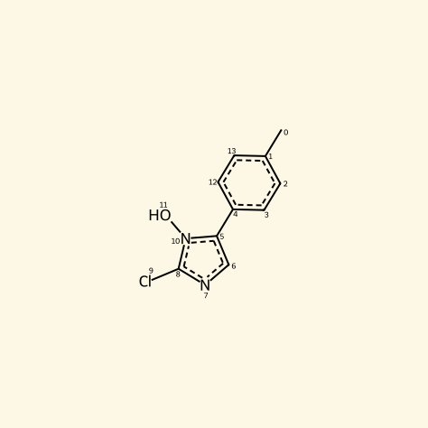 Cc1ccc(-c2cnc(Cl)n2O)cc1